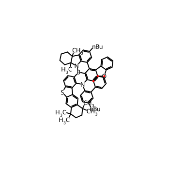 CCCCc1ccc(N2c3cc4oc5ccccc5c4c4c3B(c3ccc5sc6cc7c(cc6c5c32)C(C)(C)CCC7(C)C)N2c3c-4cc(CCCC)cc3C3(C)CCCCC23C)c(-c2ccccc2)c1